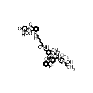 C=CC(O)N1CCN(c2nc(=O)n(-c3c(C)cc(CNC(=O)CCCCCNc4cccc5c4C(=O)N(C4CCC(=O)NC4=O)C5=O)cc3C)c3nc(-c4c(O)cccc4F)c(F)cc23)[C@@H](C)C1